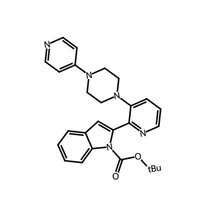 CC(C)(C)OC(=O)n1c(-c2ncccc2N2CCN(c3ccncc3)CC2)cc2ccccc21